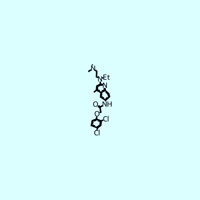 CCN(CCN(C)C)c1cc(C)c2cc(NC(=O)COc3ccc(Cl)cc3Cl)ccc2n1